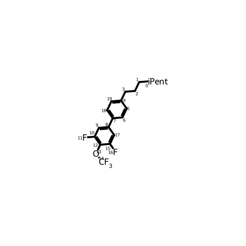 CCCC(C)CCCc1ccc(-c2cc(F)c(OC(F)(F)F)c(F)c2)cc1